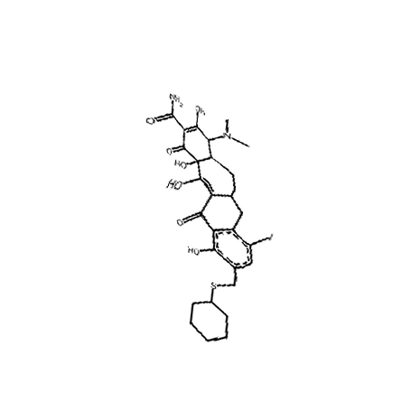 CN(C)C1C(O)=C(C(N)=O)C(=O)C2(O)C(O)=C3C(=O)c4c(O)c(CSC5CCCCC5)cc(I)c4CC3CC12